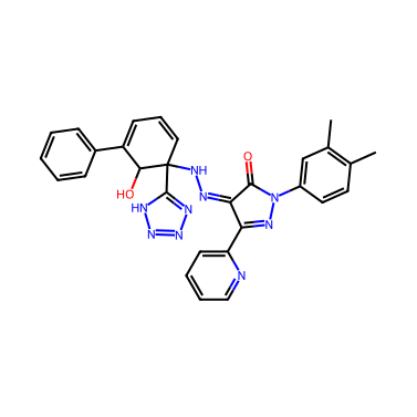 Cc1ccc(N2N=C(c3ccccn3)C(=NNC3(c4nnn[nH]4)C=CC=C(c4ccccc4)C3O)C2=O)cc1C